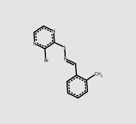 Cc1ccccc1C=NSc1nccnc1Br